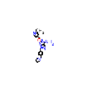 Cc1cc(COc2nc(N)c3cnn(Cc4ccc(CN5CCCC5)cc4)c3n2)ccn1